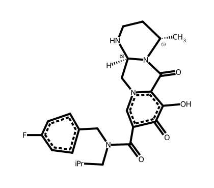 CC(C)CN(Cc1ccc(F)cc1)C(=O)c1cn2c(c(O)c1=O)C(=O)N1[C@@H](C)CCN[C@@H]1C2